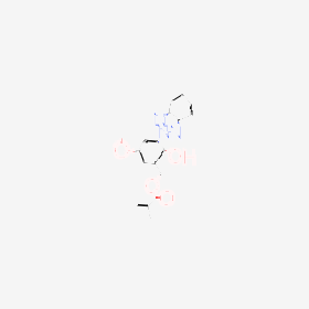 C=C(C)C(=O)OCc1cc(OC)cc(-n2nc3ccccc3n2)c1O